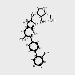 OC[C@H]1OC[C@@H](Oc2nc3nc(-c4ccc(-c5ccccc5F)cc4)c(Cl)cc3[nH]2)[C@@H]1O